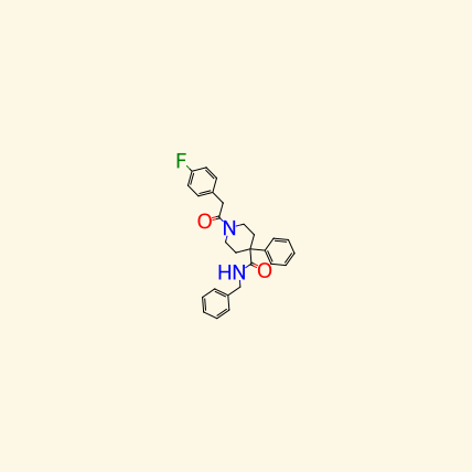 O=C(Cc1ccc(F)cc1)N1CCC(C(=O)NCc2ccccc2)(c2ccccc2)CC1